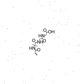 C=CC(=O)NC(C)(C)C(=O)NCC(=O)NCC(=O)O